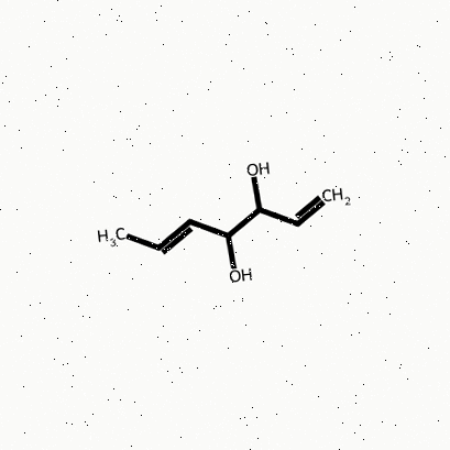 C=CC(O)C(O)C=CC